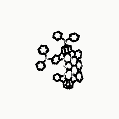 c1ccc(N(c2ccccc2)c2ccc3c(c2)c2cc(N(c4ccccc4)c4ccccc4)ccc2n3-c2nc(-n3c4ccccc4c4ccccc43)c(-n3c4ccccc4c4ccccc43)c(-c3ccncc3)c2-n2c3ccccc3c3ccccc32)cc1